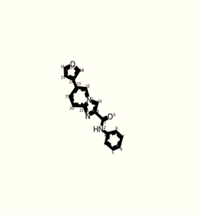 O=C(Nc1ccccc1)c1cn2cc(-c3ccoc3)ccc2n1